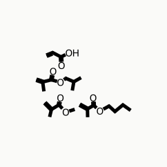 C=C(C)C(=O)OC.C=C(C)C(=O)OCC(C)C.C=C(C)C(=O)OCCCC.C=CC(=O)O